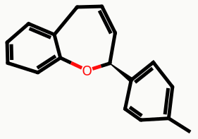 Cc1ccc([C@@H]2C=CCc3ccccc3O2)cc1